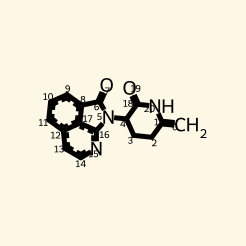 C=C1CCC(N2C(=O)c3cccc4ccnc2c34)C(=O)N1